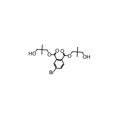 CC(C)(CO)COC(=O)c1ccc(Br)cc1C(=O)OCC(C)(C)CO